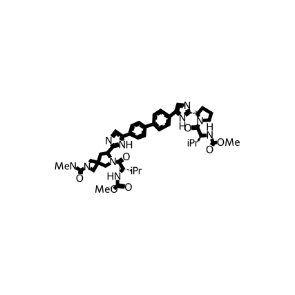 CNC(=O)N1CC2(CC(c3ncc(-c4ccc(-c5ccc(-c6cnc([C@@H]7CCCN7C(=O)[C@@H](NC(=O)OC)C(C)C)[nH]6)cc5)cc4)[nH]3)N(C(=O)[C@@H](NC(=O)OC)C(C)C)C2)C1